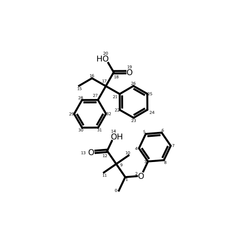 CC(Oc1ccccc1)C(C)(C)C(=O)O.CCC(C(=O)O)(c1ccccc1)c1ccccc1